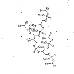 CCC(CC)OP(=O)(OC)OCC(COP(=O)(OC)OC(CC)CC)OP(=O)(OC)OCC(C)COP(=O)(OC)OC(COP(=O)(OC)OC(CC)CC)COP(=O)(OC)OC(CC)CC